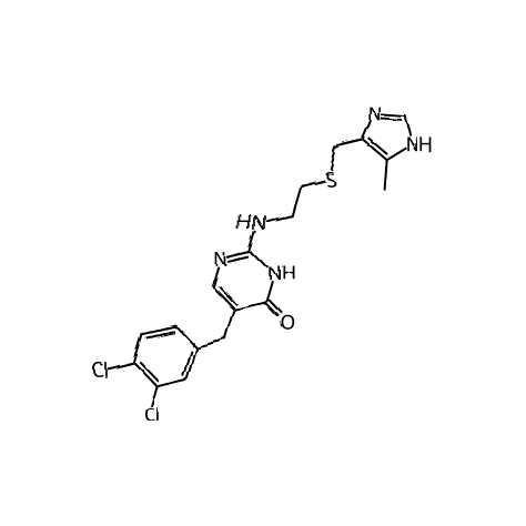 Cc1[nH]cnc1CSCCNc1ncc(Cc2ccc(Cl)c(Cl)c2)c(=O)[nH]1